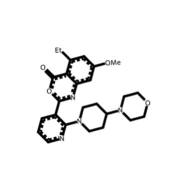 CCc1cc(OC)cc2nc(-c3cccnc3N3CCC(N4CCOCC4)CC3)oc(=O)c12